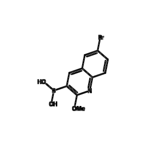 COc1nc2ccc(Br)cc2cc1B(O)O